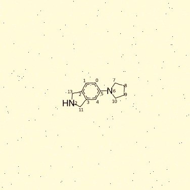 c1cc2c(cc1N1CCCC1)CNC2